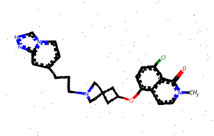 Cn1ccc2c(OC3CC4(C3)CN(CCCc3ccn5cnnc5c3)C4)ccc(Cl)c2c1=O